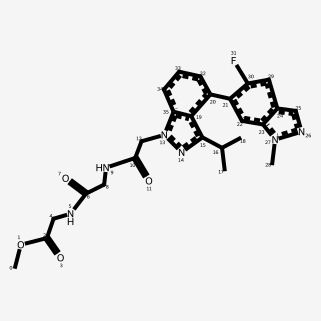 COC(=O)CNC(=O)CNC(=O)Cn1nc(C(C)C)c2c(-c3cc4c(cnn4C)cc3F)cccc21